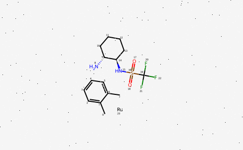 Cc1ccccc1C.N[C@@H]1CCCC[C@H]1NS(=O)(=O)C(F)(F)F.[Ru]